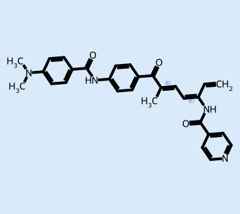 C=C/C(=C\C=C(/C)C(=O)c1ccc(NC(=O)c2ccc(N(C)C)cc2)cc1)NC(=O)c1ccncc1